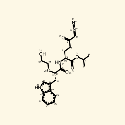 CC(C)OC(=O)[C@H](CCC(=O)C=[N+]=[N-])NC(=O)[C@H](Cc1c[nH]c2ccccc12)OCCO